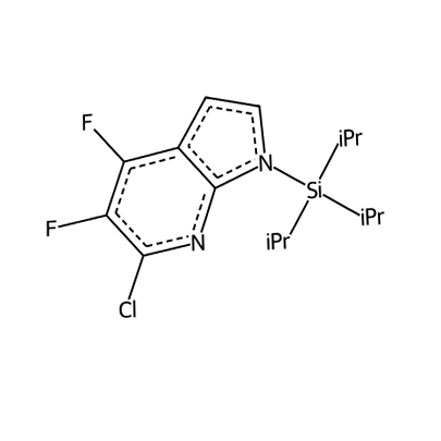 CC(C)[Si](C(C)C)(C(C)C)n1ccc2c(F)c(F)c(Cl)nc21